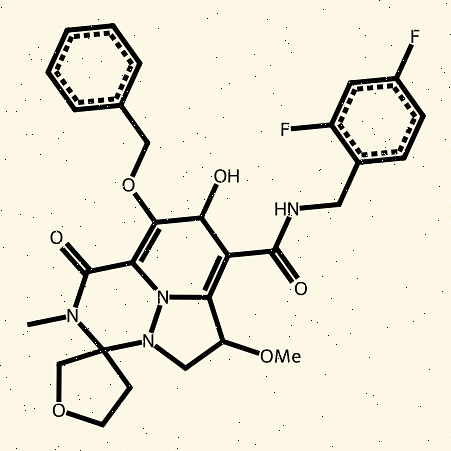 COC1CN2N3C(=C(OCc4ccccc4)C(O)C(C(=O)NCc4ccc(F)cc4F)=C13)C(=O)N(C)C21CCOC1